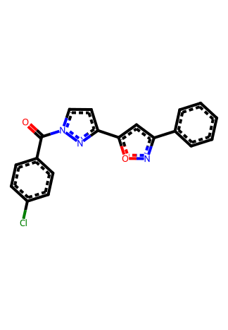 O=C(c1ccc(Cl)cc1)n1ccc(-c2cc(-c3ccccc3)no2)n1